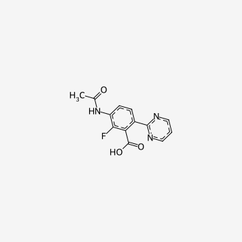 CC(=O)Nc1ccc(-c2ncccn2)c(C(=O)O)c1F